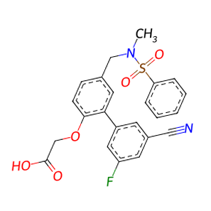 CN(Cc1ccc(OCC(=O)O)c(-c2cc(F)cc(C#N)c2)c1)S(=O)(=O)c1ccccc1